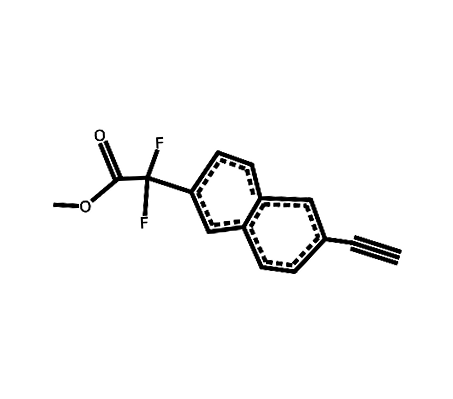 C#Cc1ccc2cc(C(F)(F)C(=O)OC)ccc2c1